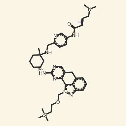 CN(C)C/C=C/C(=O)Nc1ccc(CNC2(C)CCC[C@@H](Nc3ncc4c(n3)-c3c5c(cccc5nn3COCC[Si](C)(C)C)C4)C2)nc1